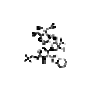 CC(C)(C)COC(=O)N[C@H](C(=O)N1C[C@@H]2[C@H]([C@H]1C(=O)NC(CC1CC1)C(=O)C(N)=O)C2(C)C)C1Cc2ccccc2C1